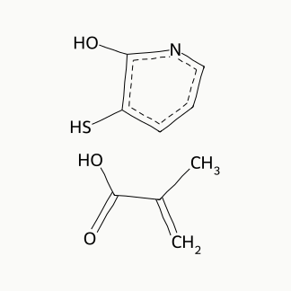 C=C(C)C(=O)O.Oc1ncccc1S